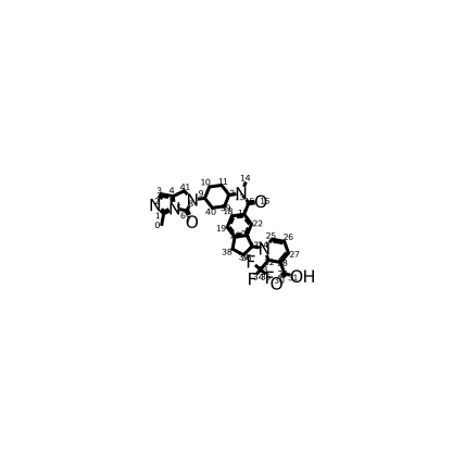 Cc1ncc2n1C(=O)N(C1CCC(N(C)C(=O)c3ccc4c(c3)C(N3C=CC=C(C(=O)O)C3C(F)(F)F)CC4)CC1)C2